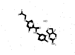 Cl.NC1=N[C@@]2(c3cc(NC(=O)c4ncc(OCC(F)F)cc4F)ccc3F)COC[C@@]2(F)CO1